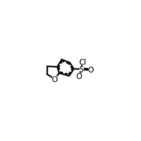 O=S(=O)(Cl)c1ccc2c(c1)OCC2